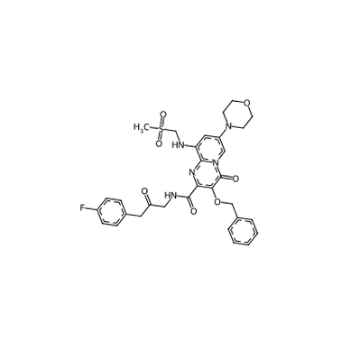 CS(=O)(=O)CNc1cc(N2CCOCC2)cn2c(=O)c(OCc3ccccc3)c(C(=O)NCC(=O)Cc3ccc(F)cc3)nc12